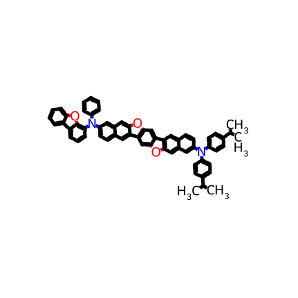 CC(C)c1ccc(N(c2ccc(C(C)C)cc2)c2ccc3cc4c(cc3c2)oc2cc3c(cc24)oc2cc4cc(N(c5ccccc5)c5cccc6c5oc5ccccc56)ccc4cc23)cc1